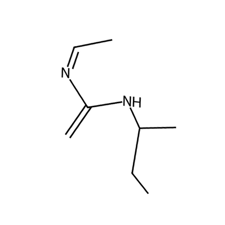 C=C(/N=C\C)NC(C)CC